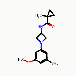 Bc1cc(OC)cc(N2CC(NC(=O)C3(C)CC3)C2)c1